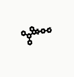 c1ccc(-c2cc(-c3ccccc3)cc(-c3cc4nn(-c5ccc(-c6cccnc6)cc5)nc4c4ccccc34)c2)cc1